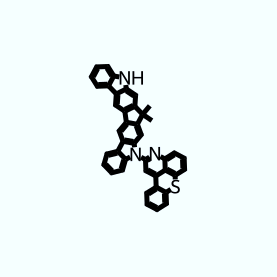 CC1(C)c2cc3[nH]c4ccccc4c3cc2-c2cc3c4ccccc4n(-c4cc5c6c(cccc6n4)Sc4ccccc4-5)c3cc21